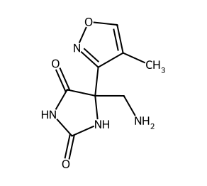 Cc1conc1C1(CN)NC(=O)NC1=O